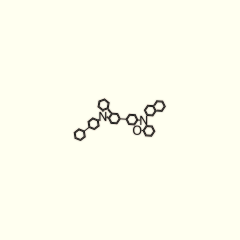 c1ccc(-c2ccc(-n3c4ccccc4c4cc(-c5ccc6c(c5)Oc5ccccc5N6c5ccc6ccccc6c5)ccc43)cc2)cc1